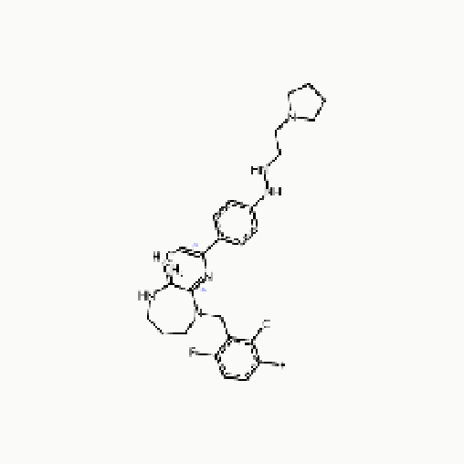 C=C1NCCCN(Cc2c(F)ccc(F)c2Cl)/C1=N/C(=C\C)c1ccc(NNCCN2CCCC2)cc1